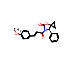 COc1ccc(/C=C/C(=O)N2C(=O)OC3(CC3)[C@H]2c2ccccc2)cc1